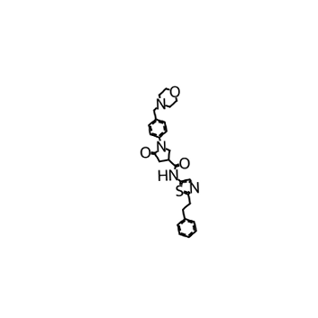 O=C(Nc1cnc(CCc2ccccc2)s1)C1CC(=O)N(c2ccc(CN3CCOCC3)cc2)C1